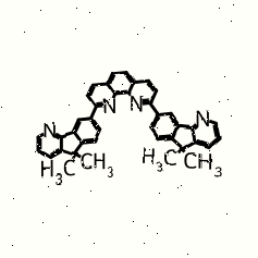 CC1(C)c2ccc(-c3ccc4ccc5ccc(-c6ccc7c(c6)-c6ncccc6C7(C)C)nc5c4n3)cc2-c2ncccc21